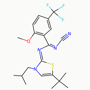 COc1ccc(C(F)(F)F)cc1C(/N=c1\sc(C(C)(C)C)cn1CC(C)C)=N\C#N